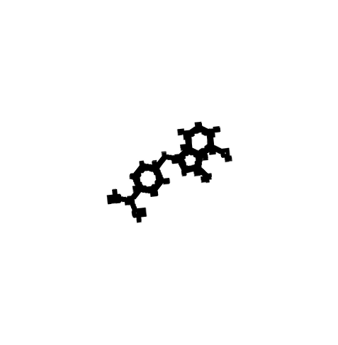 OB(O)c1ccc(Cn2cc(F)c3c(Cl)ncnc32)cc1